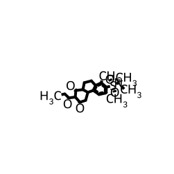 CCC(=O)C1C(=O)CC2c3cc(C)c(S(=O)(=O)N(C)C)c(C)c3CCC2C1=O